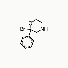 BrC1(c2ccccc2)CNCCO1